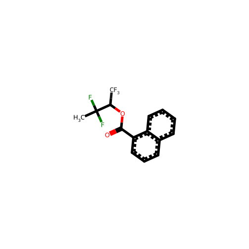 CC(F)(F)C(OC(=O)c1cccc2ccccc12)C(F)(F)F